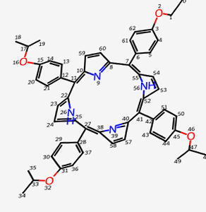 CCOc1ccc(-c2c3nc(c(-c4ccc(OC(C)C)cc4)c4ccc([nH]4)c(-c4ccc(OC(C)C)cc4)c4nc(c(-c5ccc(OC(C)C)cc5)c5ccc2[nH]5)C=C4)C=C3)cc1